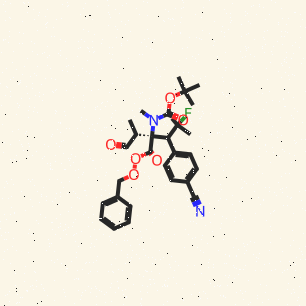 CC(C=O)[C@@](C(=O)OOCc1ccccc1)(C(c1ccc(C#N)cc1)C(C)(C)F)N(C)C(=O)OC(C)(C)C